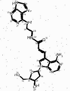 Nc1ncnc2c1c(/C=C/C(=O)NCCNc1ncnc3[nH]cnc13)cn2[C@H]1CC(O)[C@@H](CO)O1